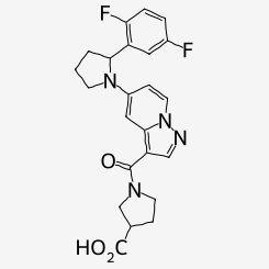 O=C(O)C1CCN(C(=O)c2cnn3ccc(N4CCCC4c4cc(F)ccc4F)cc23)C1